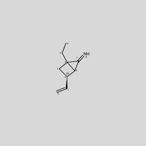 C=C[C@H]1CC2(CC)C(=N)C12